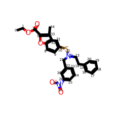 CCOC(=O)c1oc2ccc(SN(CCc3ccccc3)Cc3cccc([N+](=O)[O-])c3)cc2c1C